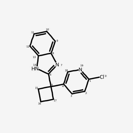 Clc1ccc(C2(c3nc4ccccc4[nH]3)CCC2)cn1